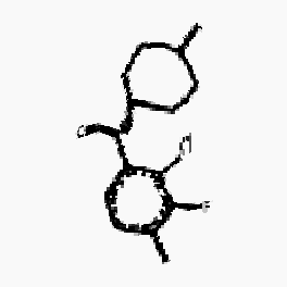 Cc1ccc(C(=O)C2CCC(C)CC2)c(Cl)c1F